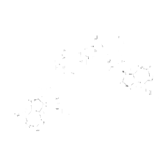 C[C@@H](COP(=O)(O)OP(=O)(O)CP(=O)(O)OP(=O)(O)OC[C@H](CO)O[C@H](CO)n1cnc2c(N)ncnc21)O[C@H](C)n1cnc2c(N)ncnc21